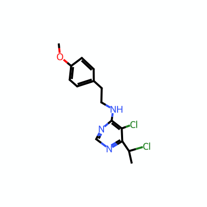 COc1ccc(CCNc2ncnc(C(C)Cl)c2Cl)cc1